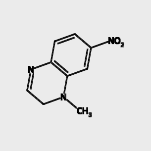 CN1CC=Nc2ccc([N+](=O)[O-])cc21